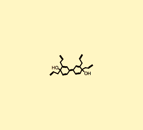 C=CCC1=CC(=C2C=CC(O)(CC=C)C(CC=C)=C2)C=CC1(O)CC=C